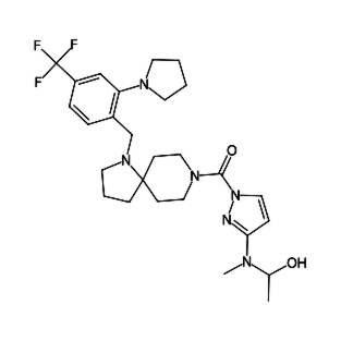 CC(O)N(C)c1ccn(C(=O)N2CCC3(CCCN3Cc3ccc(C(F)(F)F)cc3N3CCCC3)CC2)n1